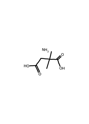 CC(C)(CC(=O)O)C(=O)O.N